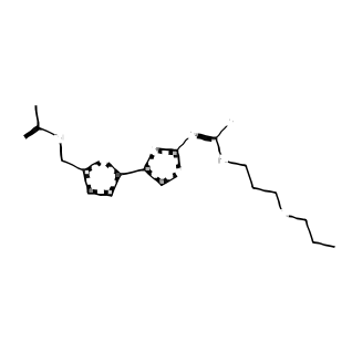 CCCOCCCNC(N)=Nc1nc(-c2ccc(CNC(C)=O)s2)cs1